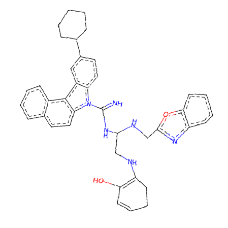 N=C(NC(CNC1=C(O)C=CCC1)NCc1nc2ccccc2o1)n1c2ccc(C3CCCCC3)cc2c2c3ccccc3ccc21